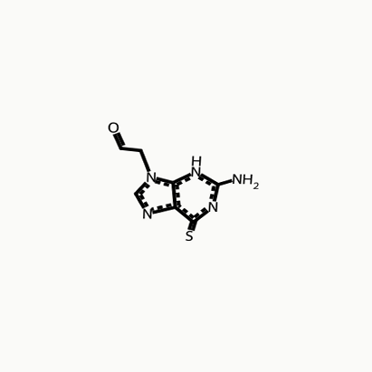 Nc1nc(=S)c2ncn(CC=O)c2[nH]1